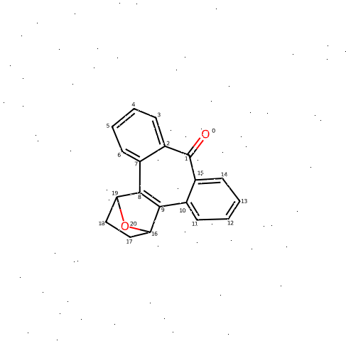 O=c1c2ccccc2c2c(c3ccccc13)C1CCC2O1